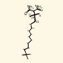 CC(C)(C)CCCCCCCCCCC(C)(C)C(C(N)=O)C(N)=O